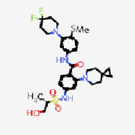 CSc1ccc(NC(=O)c2ccc(NS(=O)(=O)[C@@H](C)CO)cc2N2CCC3(CC2)CC3)cc1N1CCC(F)(F)CC1